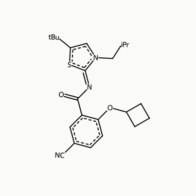 CC(C)Cn1cc(C(C)(C)C)sc1=NC(=O)c1cc(C#N)ccc1OC1CCC1